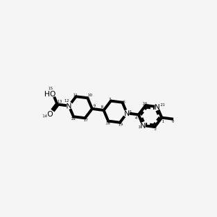 Cc1cnc(N2CCC(C3CCN(C(=O)O)CC3)CC2)cn1